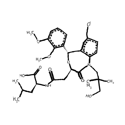 COc1cccc([C@H]2O[C@H](CC(=O)N[C@@H](CC(C)C)C(=O)O)C(=O)N(CC(C)(C)CO)c3ccc(Cl)cc32)c1OC